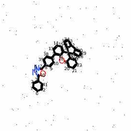 c1ccc(-c2nnc(-c3ccc(-c4cccc5c4Oc4ccccc4C54c5ccccc5-c5ccccc54)cc3)o2)cc1